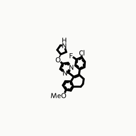 COc1ccc2c(c1)CCCC(c1ccc(Cl)c(F)c1)=C2c1ncc(O[C@H]2CCNC2)cn1